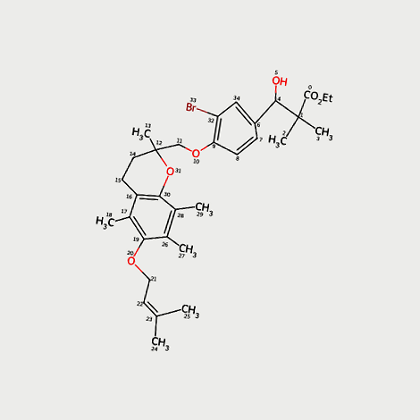 CCOC(=O)C(C)(C)C(O)c1ccc(OCC2(C)CCc3c(C)c(OCC=C(C)C)c(C)c(C)c3O2)c(Br)c1